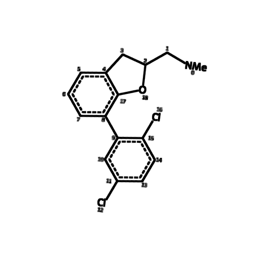 CNCC1Cc2cccc(-c3cc(Cl)ccc3Cl)c2O1